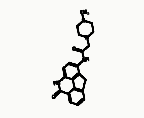 CN1CCN(CC(=O)Nc2ccc3[nH]c(=O)c4cccc5c4c3c2C5)CC1